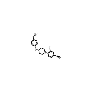 N#Cc1ccc(N2CCC(Sc3ccc(CBr)cc3)CC2)c(F)c1